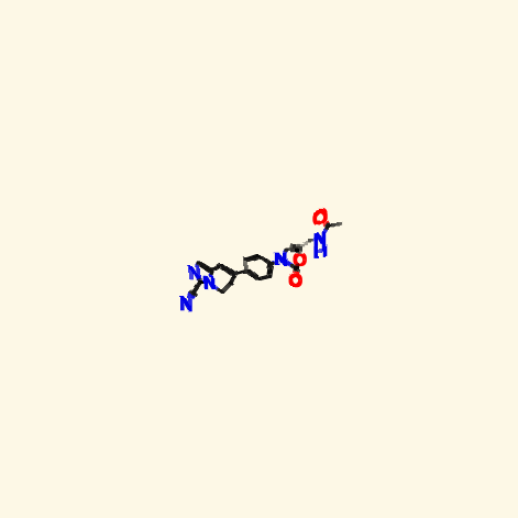 CC(=O)NC[C@H]1CN(c2ccc(C3=Cc4cnc(C#N)n4CC3)cc2)C(=O)O1